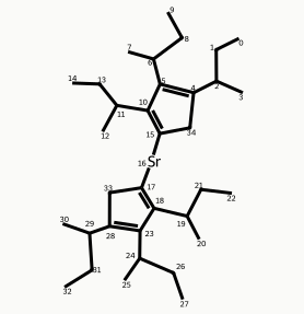 CCC(C)C1=C(C(C)CC)C(C(C)CC)=[C]([Sr][C]2=C(C(C)CC)C(C(C)CC)=C(C(C)CC)C2)C1